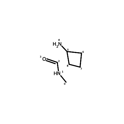 CNC=O.NC1CCC1